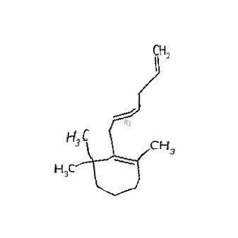 C=CC/C=C/C1=C(C)CCCC1(C)C